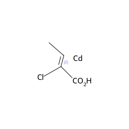 C/C=C(\Cl)C(=O)O.[Cd]